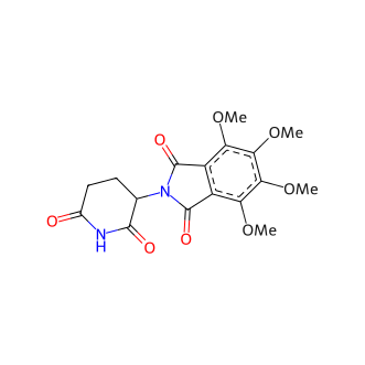 COc1c(OC)c(OC)c2c(c1OC)C(=O)N(C1CCC(=O)NC1=O)C2=O